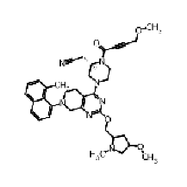 COCC#CC(=O)N1CCN(c2nc(OCC3CC(OC)CN3C)nc3c2CCN(c2cccc4cccc(C)c24)C3)C[C@@H]1CC#N